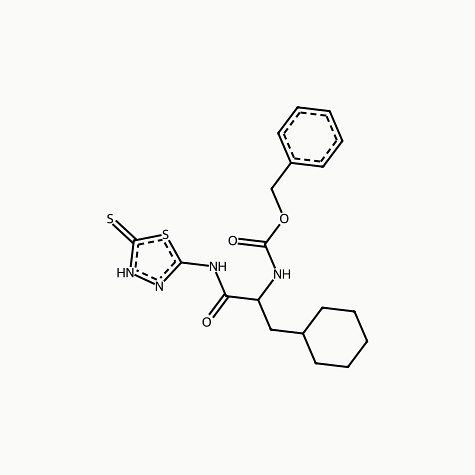 O=C(NC(CC1CCCCC1)C(=O)Nc1n[nH]c(=S)s1)OCc1ccccc1